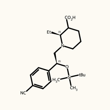 CC[C@H]1C(C(=O)O)CCCN1C[C@@H](O[Si](C)(C)C(C)(C)C)c1ccc(C#N)cc1